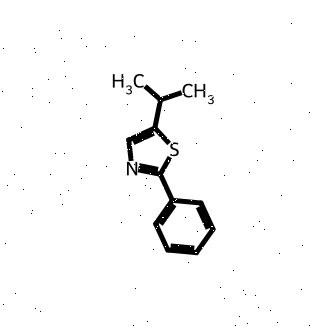 CC(C)c1cnc(-c2ccccc2)s1